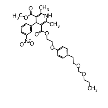 CCCOCOCCc1ccc(OCCOC(=O)C2=C(C)NC(C)=C(C(=O)OC)C2c2cccc([N+](=O)[O-])c2)cc1